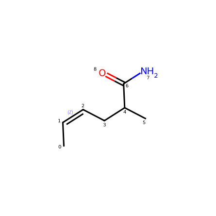 C/C=C\CC(C)C(N)=O